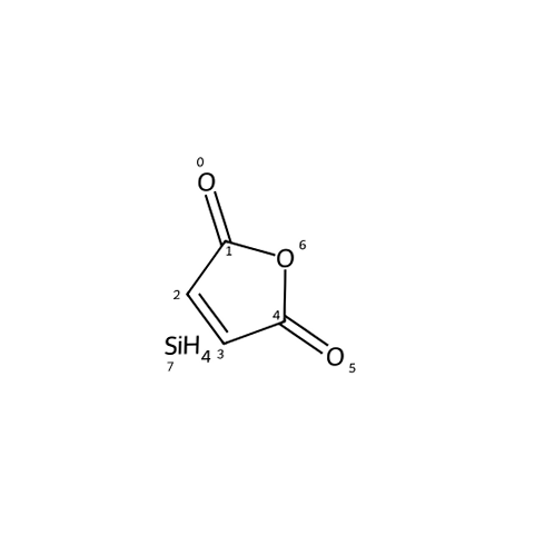 O=C1C=CC(=O)O1.[SiH4]